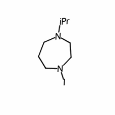 CC(C)N1CCCN(I)CC1